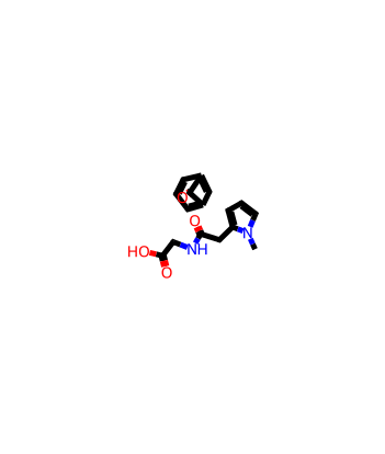 Cn1cccc1CC(=O)NCC(=O)O.O=C1c2cccc1c2